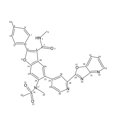 CNC(=O)c1c(-c2ccc(C)cc2)oc2cc(N(C)S(C)(=O)=O)c(-c3ccnc(-c4nc5ncccc5o4)c3)cc12